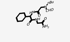 CCCCN(C=O)CC(=O)NC(C(=O)NCC(N)=O)C1CCCCC1